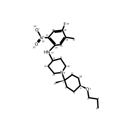 CCCO[C@H]1CC[C@](C)(N2CCC(Nc3cc(C)c(F)cc3[N+](=O)[O-])CC2)CC1